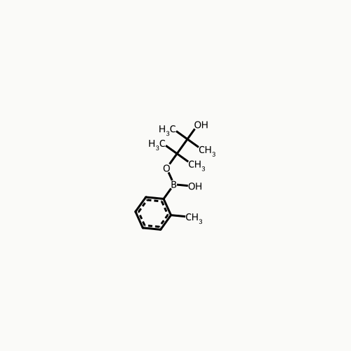 Cc1ccccc1B(O)OC(C)(C)C(C)(C)O